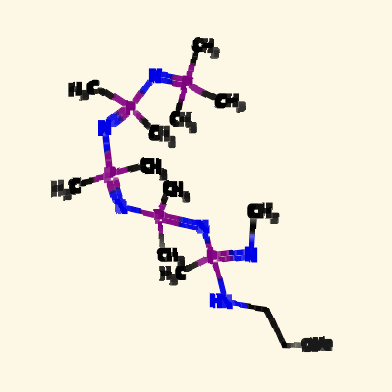 CN=P(C)(N=P(C)(C)N=P(C)(C)N=P(C)(C)N=P(C)(C)C)NCCOC